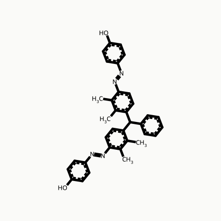 Cc1c(/N=N/c2ccc(O)cc2)ccc(C(c2ccccc2)c2ccc(/N=N/c3ccc(O)cc3)c(C)c2C)c1C